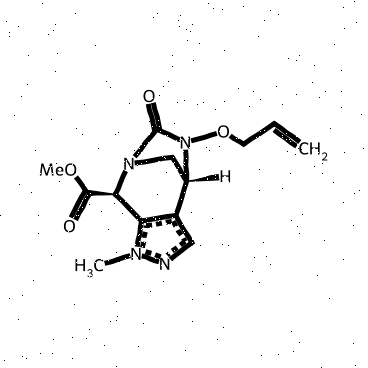 C=CCON1C(=O)N2C[C@H]1c1cnn(C)c1[C@H]2C(=O)OC